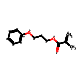 C=C(C)C(=O)OCCCOc1cc[c]cc1